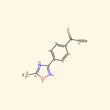 CNC(=S)c1ccc(-c2noc(C(F)(F)F)n2)cc1